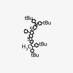 CC(c1ccc2c(c1)sc1cc3c(-c4ccccc4)c4sc5cc(N(c6ccc(C(C)(C)C)cc6)c6ccc(C(C)(C)C)cc6)ccc5c4cc3cc12)C(c1ccc(C(C)(C)C)cc1)c1ccc(C(C)(C)C)cc1